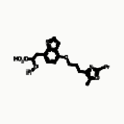 Cc1oc(C(C)C)nc1CCCOc1ccc(CC(OC(C)C)C(=O)O)c2sccc12